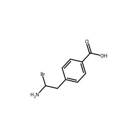 NC(Br)Cc1ccc(C(=O)O)cc1